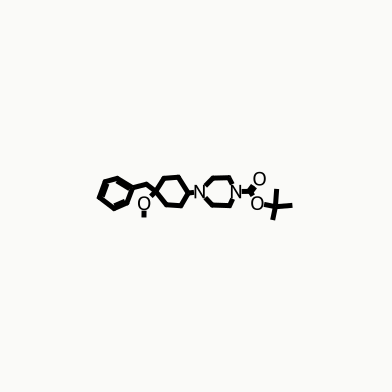 COC1(Cc2ccccc2)CCC(N2CCN(C(=O)OC(C)(C)C)CC2)CC1